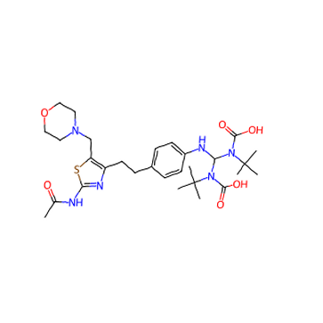 CC(=O)Nc1nc(CCc2ccc(NC(N(C(=O)O)C(C)(C)C)N(C(=O)O)C(C)(C)C)cc2)c(CN2CCOCC2)s1